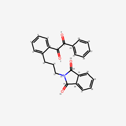 O=C(C(=O)c1ccccc1CCCN1C(=O)c2ccccc2C1=O)c1ccccc1